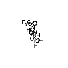 O=C(N[C@H]1CC[C@@H]2CN(c3ccccc3OC(F)(F)F)C[C@@H]21)[C@@H]1C[C@@H](F)CN1